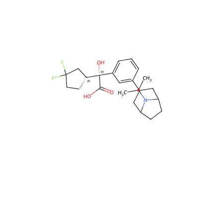 CC(C)N1C2CCC1CC(c1cccc([C@@](O)(C(=O)O)[C@@H]3CCC(F)(F)C3)c1)C2